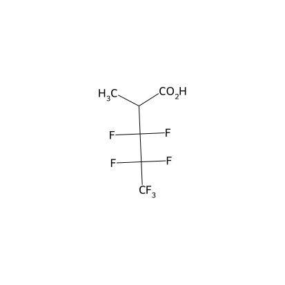 CC(C(=O)O)C(F)(F)C(F)(F)C(F)(F)F